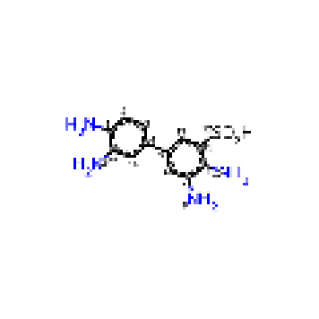 Nc1ccc(-c2cc(N)c(N)c(S(=O)(=O)O)c2)cc1N